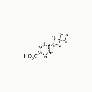 O=C(O)c1ccc(C2CC3(CCC3)C2)cc1